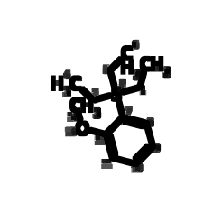 CCS(CC)(CC)c1ccccc1OC